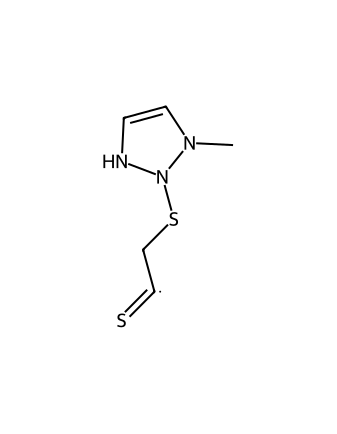 CN1C=CNN1SC[C]=S